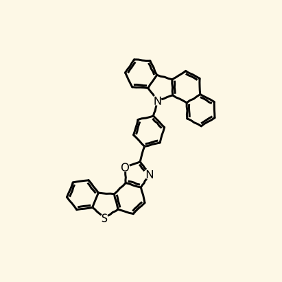 c1ccc2c(c1)ccc1c3ccccc3n(-c3ccc(-c4nc5ccc6sc7ccccc7c6c5o4)cc3)c21